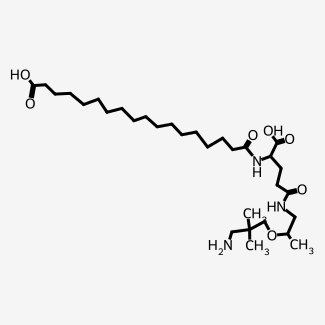 CC(CNC(=O)CCC(NC(=O)CCCCCCCCCCCCCCCCC(=O)O)C(=O)O)OCC(C)(C)CN